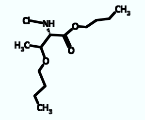 CCCCOC(=O)[C@@H](NCl)C(C)OCCCC